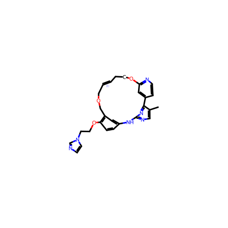 Cc1cnc2nc1-c1ccnc(c1)OCC/C=C/COCc1cc(ccc1OCCn1ccnc1)N2